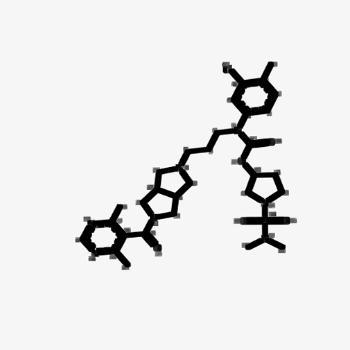 Cc1ccc(N(CCCN2CC3CN(C(=O)c4c(C)ncnc4C)CC3C2)C(=O)OC2CCN(S(=O)(=O)N(C)C)C2)cc1Cl